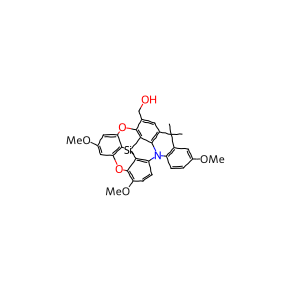 COc1cc2c3c(c1)Oc1c(CO)cc4c5c1[Si]3(C)c1c(ccc(OC)c1O2)N5c1ccc(OC)cc1C4(C)C